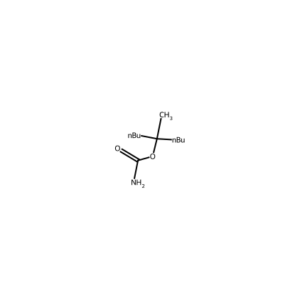 CCCCC(C)(CCCC)OC(N)=O